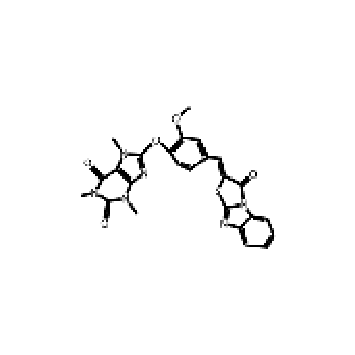 COc1cc(C=c2sc3nc4ccccc4n3c2=O)ccc1Oc1nc2c(c(=O)n(C)c(=O)n2C)n1C